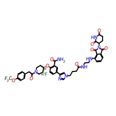 NC(=O)c1cc(-c2cn(CCCC(=O)NCCNc3cccc4c3C(=O)N(C3CCC(=O)NC3=O)C4=O)cn2)ccc1O[C@@H]1CCN(C(=O)Cc2ccc(OC(F)(F)F)cc2)C[C@H]1F